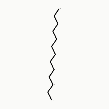 [CH2]C[CH]CCCCCCCCC[CH2]